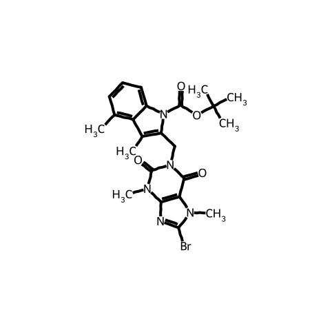 Cc1cccc2c1c(C)c(Cn1c(=O)c3c(nc(Br)n3C)n(C)c1=O)n2C(=O)OC(C)(C)C